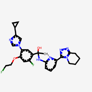 CC(O)(Nc1cccc(-c2nnc3n2CCCC3)n1)c1cc(-n2cnc(C3CC3)c2)c(OCCF)cc1F